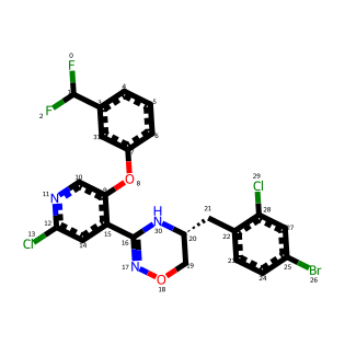 FC(F)c1cccc(Oc2cnc(Cl)cc2C2=NOC[C@@H](Cc3ccc(Br)cc3Cl)N2)c1